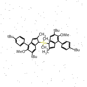 COc1c(C(C)(C)C)cc2c(c1-c1ccc(C(C)(C)C)cc1)C=C(C)C2S(C)(C)C1C(C)=Cc2c1cc(C(C)(C)C)c(OC)c2-c1ccc(C(C)(C)C)cc1